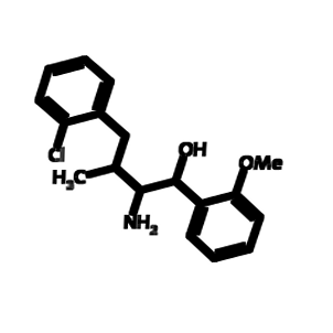 COc1ccccc1C(O)C(N)C(C)Cc1ccccc1Cl